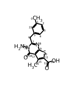 Cc1cccc(Cc2nc3sc(C(=O)O)c(C)c3c(=O)n2N)c1